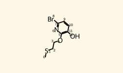 CSCCOc1nc(Br)ccc1O